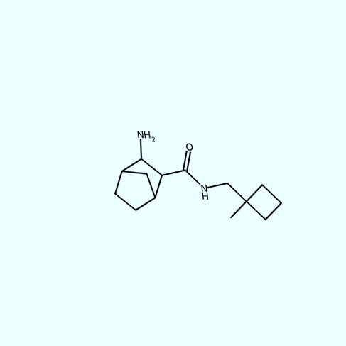 CC1(CNC(=O)C2C3CCC(C3)C2N)CCC1